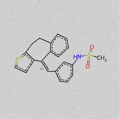 CS(=O)(=O)Nc1cccc(/C=C2\c3ccccc3CCc3sccc32)c1